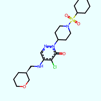 O=c1c(Cl)c(NC[C@@H]2CCCOC2)cnn1C1CCN(S(=O)(=O)C2CCCCC2)CC1